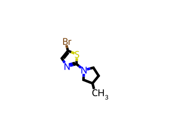 CC1CCN(c2ncc(Br)s2)C1